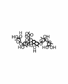 CO[C@H](C(=O)C(C)=O)[C@@H]1Cc2cc3cc(O[C@H]4C[C@@H](O[C@H]5C[C@@H](O)[C@H](O)C(C)O5)[C@H](O)C(C)O4)c(C)c(O)c3c(O)c2C(=O)[C@H]1O[C@H]1C[C@@H](O[C@H]2C[C@@H](O)[C@@H](O)C(C)O2)[C@H](O)C(C)O1